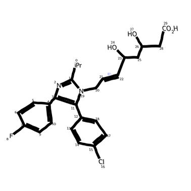 CC(C)c1nc(-c2ccc(F)cc2)c(-c2ccc(Cl)cc2)n1C/C=C/C(O)CC(O)CC(=O)O